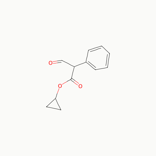 O=CC(C(=O)OC1CC1)c1ccccc1